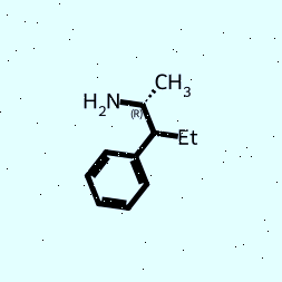 CCC(c1ccccc1)[C@@H](C)N